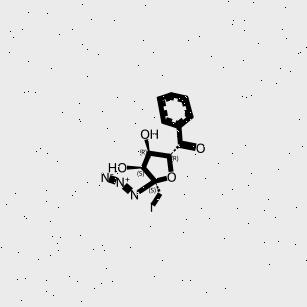 [N-]=[N+]=N[C@]1(CI)O[C@@H](C(=O)c2ccccc2)[C@H](O)[C@@H]1O